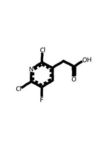 O=C(O)Cc1cc(F)c(Cl)nc1Cl